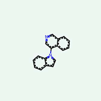 c1ccc2c(-n3ccc4ccccc43)cncc2c1